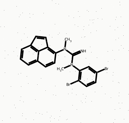 CN(C(=N)N(C)c1ccc2cccc3c2c1C=C3)c1cc(Br)ccc1Br